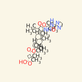 CC(C)C1=C2[C@H]3CC[C@@H]4[C@@]5(C)CC[C@H](OC(=O)[C@H]6C[C@@H](C(=O)O)C6(C)C)C(C)(C)[C@@H]5CC[C@@]4(C)[C@]3(C)CC[C@@]2(NC(=O)C(C)(C)NC(=O)c2ncccn2)CC1=O